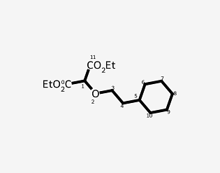 CCOC(=O)C(OCCC1CCCCC1)C(=O)OCC